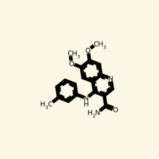 COc1cc2ncc(C(N)=O)c(Nc3cccc(C)c3)c2cc1OC